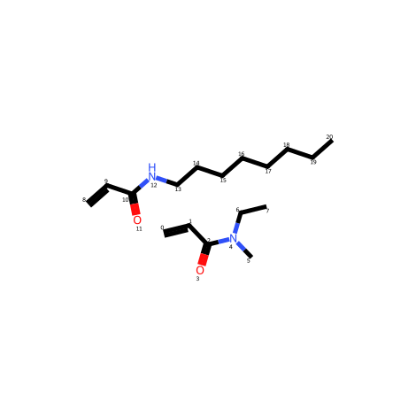 C=CC(=O)N(C)CC.C=CC(=O)NCCCCCCCC